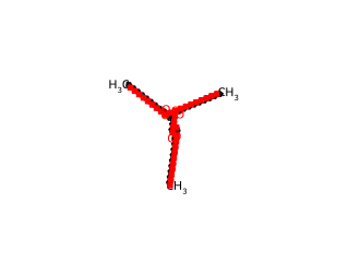 CCCCCCCCCCCCCCCCCC(=O)Oc1ccc(C=Cc2cc(OC(=O)CCCCCCCCCCCCCCCCC)cc(OC(=O)CCCCCCCCCCCCCCCCC)c2)cc1